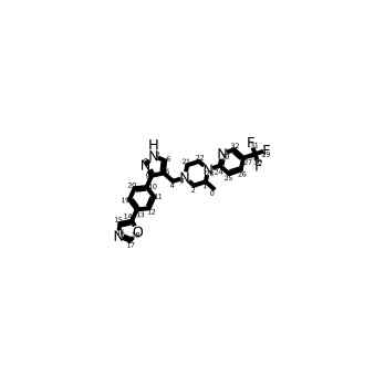 CC1CN(Cc2c[nH]nc2-c2ccc(-c3cnco3)cc2)CCN1c1ccc(C(F)(F)F)cn1